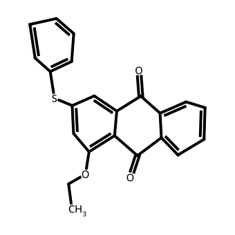 CCOc1cc(Sc2ccccc2)cc2c1C(=O)c1ccccc1C2=O